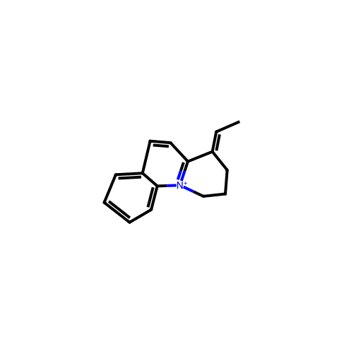 C/C=C1\CCC[n+]2c1ccc1ccccc12